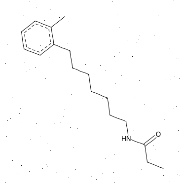 CCC(=O)NCCCCCCCc1ccccc1C